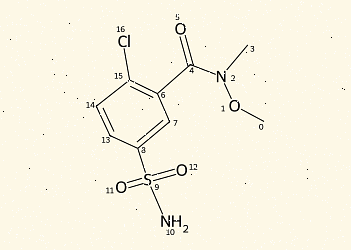 CON(C)C(=O)c1cc(S(N)(=O)=O)ccc1Cl